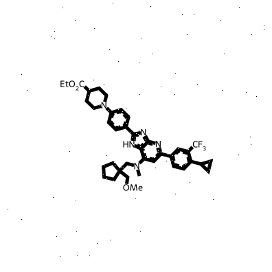 CCOC(=O)C1CCN(c2ccc(-c3nc4nc(-c5ccc(C6CC6)c(C(F)(F)F)c5)cc(N(C)CC5(COC)CCCC5)c4[nH]3)cc2)CC1